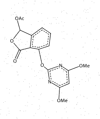 COc1cc(OC)nc(Oc2cccc3c2C(=O)OC3OC(C)=O)n1